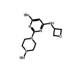 CC(C)(C)c1cc(NC2COC2)nc(N2CCN(C(C)(C)C)CC2)n1